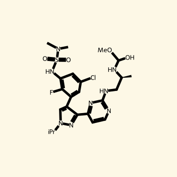 COC(O)N[C@@H](C)CNc1nccc(-c2nn(C(C)C)cc2-c2cc(Cl)cc(NS(=O)(=O)N(C)C)c2F)n1